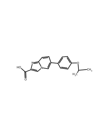 CC(C)Oc1ccc(-c2ccc3nc(C(=O)O)cn3c2)cc1